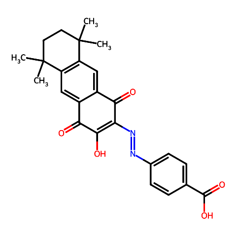 CC1(C)CCC(C)(C)c2cc3c(cc21)C(=O)C(O)=C(/N=N/c1ccc(C(=O)O)cc1)C3=O